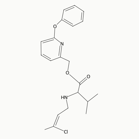 CC(Cl)=CCNC(C(=O)OCc1cccc(Oc2ccccc2)n1)C(C)C